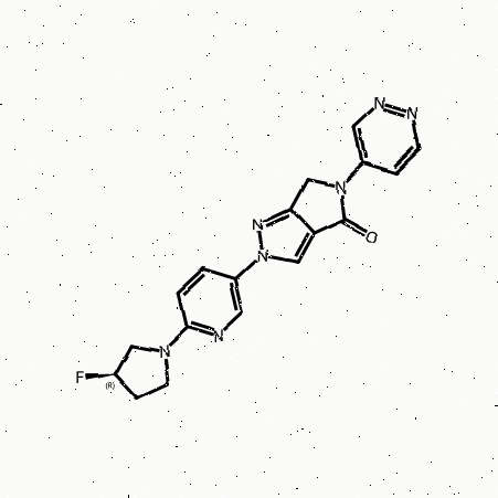 O=C1c2cn(-c3ccc(N4CC[C@@H](F)C4)nc3)nc2CN1c1ccnnc1